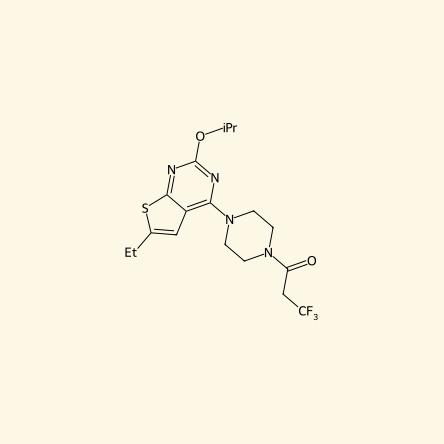 CCc1cc2c(N3CCN(C(=O)CC(F)(F)F)CC3)nc(OC(C)C)nc2s1